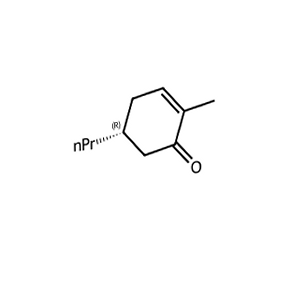 CCC[C@@H]1CC=C(C)C(=O)C1